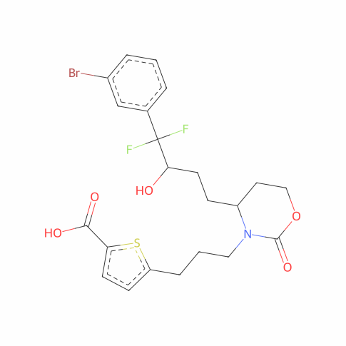 O=C(O)c1ccc(CCCN2C(=O)OCCC2CCC(O)C(F)(F)c2cccc(Br)c2)s1